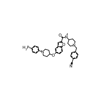 CN(C(=O)c1cc2cc(OC3CCN(c4ccc(P)cc4)CC3)ccc2o1)C1CCN(Cc2ccc(C#N)cc2)CC1